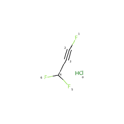 Cl.FC#CC(F)F